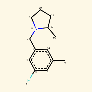 Cc1cc(F)cc(CN2CCCC2C)c1